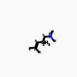 CC(C)=C[SiH2]CN(C)C